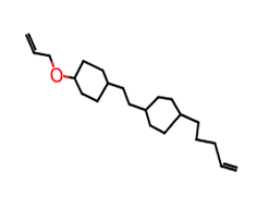 C=CCCCC1CCC(CCC2CCC(OCC=C)CC2)CC1